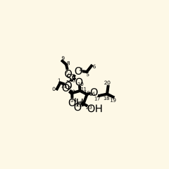 CCO[Si](OCC)(OCC)OC(C(=O)O)C(OCC(C)C)C(=O)O